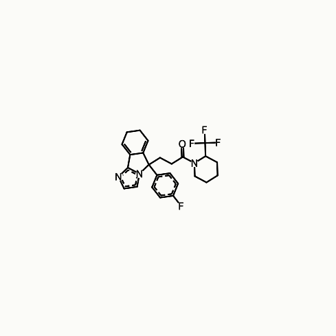 O=C(CCC1(c2ccc(F)cc2)C2=CCCC=C2c2nccn21)N1CCCCC1C(F)(F)F